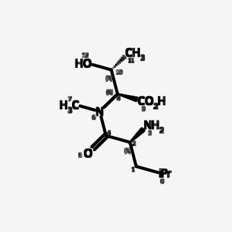 CC(C)C[C@H](N)C(=O)N(C)[C@H](C(=O)O)[C@@H](C)O